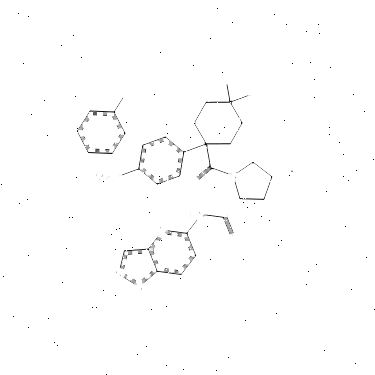 COc1ccc(C2(C(=O)N3C[C@H](F)C[C@@H]3C(=O)Nc3ccc4[nH]ncc4n3)CCC(F)(F)CC2)cc1.O=S(=O)(O)c1ccccc1